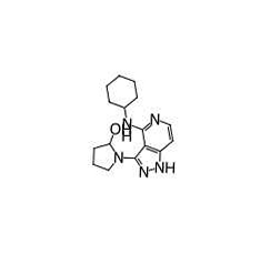 OC1CCCN1c1n[nH]c2ccnc(NC3CCCCC3)c12